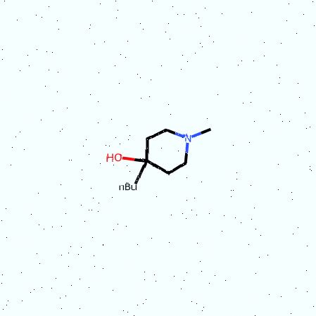 CCCCC1(O)CCN(C)CC1